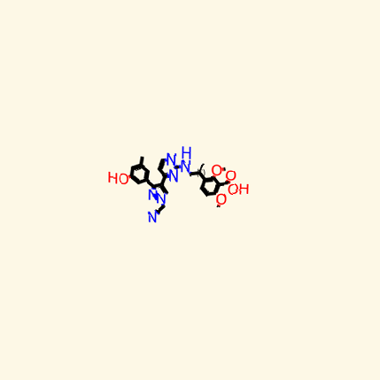 COc1ccc([C@H](C)CNc2nccc(-c3cn(CC#N)nc3-c3cc(C)cc(O)c3)n2)c(OC)c1C(=O)O